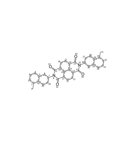 Cc1cccc2cc(N3C(=O)c4ccc5c6c(ccc(c46)C3=O)C(=O)N(c3ccc4c(C)cccc4c3)C5=O)ccc12